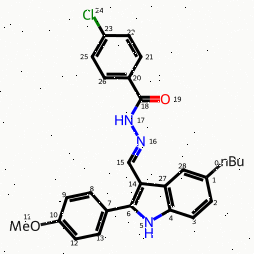 CCCCc1ccc2[nH]c(-c3ccc(OC)cc3)c(C=NNC(=O)c3ccc(Cl)cc3)c2c1